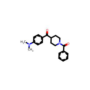 CN(C)c1ccc(C(=O)C2CCN(C(=O)c3ccccc3)CC2)cc1